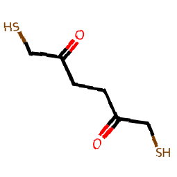 O=C(CS)CCC(=O)CS